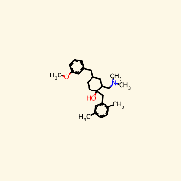 COc1cccc(CC2CCC(O)(Cc3cc(C)ccc3C)C(CN(C)C)C2)c1